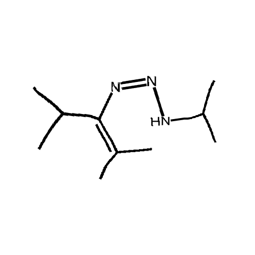 CC(C)=C(/N=N\NC(C)C)C(C)C